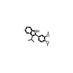 COc1ccc(-c2[nH]c3cc[c]cc3c2C(C)C)cc1OC